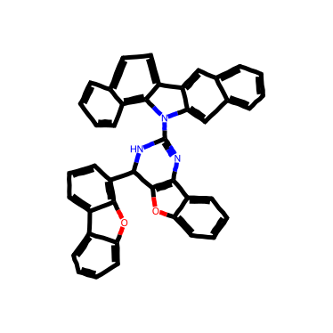 c1ccc2cc3c(cc2c1)c1ccc2ccccc2c1n3C1=Nc2c(oc3ccccc23)C(c2cccc3c2oc2ccccc23)N1